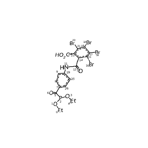 CCOP(OCC)C(=O)c1ccc(NC(=O)c2c(Br)c(Br)c(Br)c(Br)c2C(=O)O)cc1